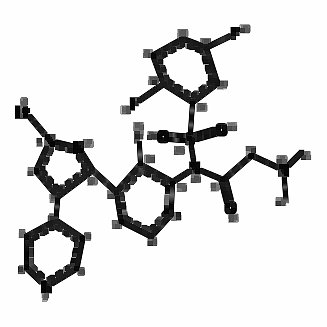 CCn1cc(-c2ccncc2)c(-c2cccc(N(C(=O)CN(C)C)S(=O)(=O)c3cc(F)ccc3F)c2F)n1